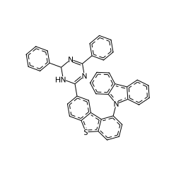 c1ccc(C2=NC(c3ccccc3)NC(c3ccc4sc5cccc(-n6c7ccccc7c7ccccc76)c5c4c3)=N2)cc1